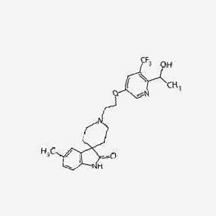 Cc1ccc2c(c1)C1(CCN(CCOc3cnc(C(C)O)c(C(F)(F)F)c3)CC1)C(=O)N2